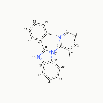 Cc1cccnc1-n1c(-c2ccccc2)nc2ccccc21